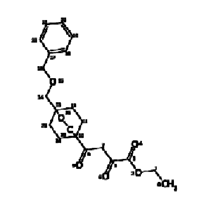 CCOC(=O)C(=O)CC(=O)C12CCC(COCc3ccccc3)(CC1)OC2